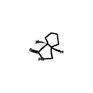 O=C1NC[C@H]2CCCC[C@H]12